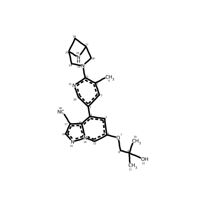 Cc1cc(-c2cc(OCC(C)(C)O)cn3ncc(C#N)c23)cnc1N1CC2CC(C1)N2